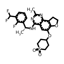 Cc1nc(N[C@H](C)c2cccc(C(F)F)c2F)c2cc(OC3CCS(=O)(=O)CC3)c3c(c2n1)CCO3